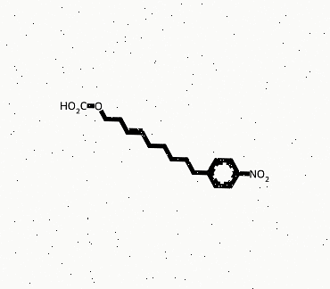 O=C(O)OCCC=CCCCCCc1ccc([N+](=O)[O-])cc1